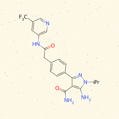 CC(C)n1nc(-c2ccc(CC(=O)Nc3cncc(C(F)(F)F)c3)cc2)c(C(N)=O)c1N